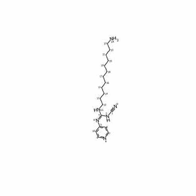 N#CNC(=Nc1ccncc1)NCCCCCCCCCCCCN